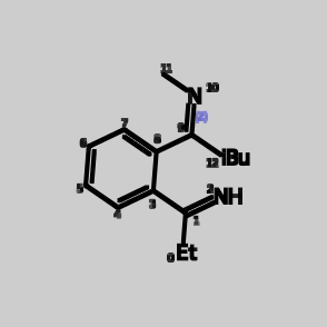 CCC(=N)c1ccccc1/C(=N\C)C(C)CC